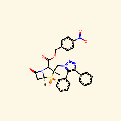 C[C@]1(Cn2nnc(-c3ccccc3)c2-c2ccccc2)[C@H](C(=O)OCc2ccc([N+](=O)[O-])cc2)N2C(=O)C[C@@H]2S1(=O)=O